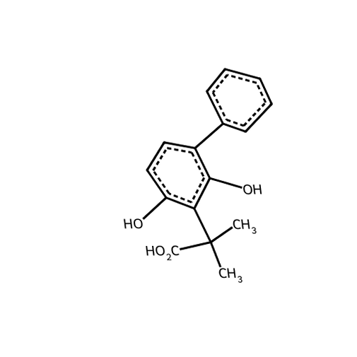 CC(C)(C(=O)O)c1c(O)ccc(-c2ccccc2)c1O